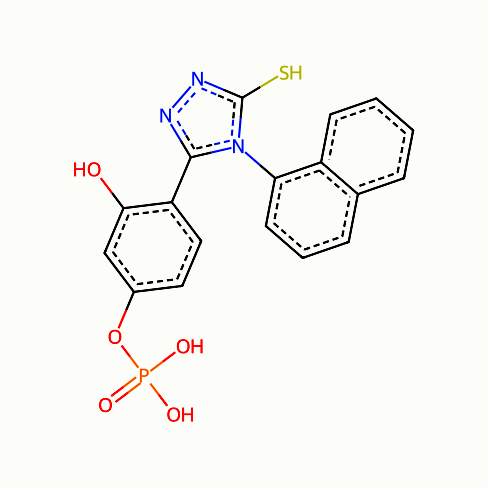 O=P(O)(O)Oc1ccc(-c2nnc(S)n2-c2cccc3ccccc23)c(O)c1